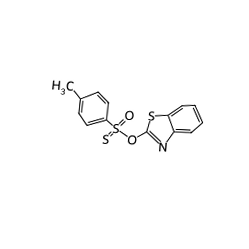 Cc1ccc(S(=O)(=S)Oc2nc3ccccc3s2)cc1